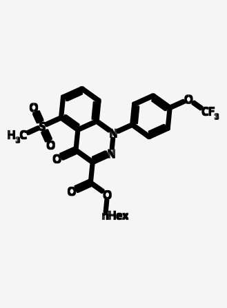 CCCCCCOC(=O)c1nn(-c2ccc(OC(F)(F)F)cc2)c2cccc(S(C)(=O)=O)c2c1=O